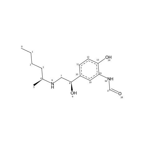 CCCC[C@H](C)NC[C@H](O)c1ccc(O)c(NC=O)c1